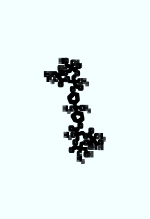 CC(CO)(CO)C(=O)OCC(C)(COC(=O)C(C)(CO)CO)C(=O)Oc1ccc(C(C)(C)c2ccc(OC(=O)C(C)(COC(=O)C(C)(CO)CO)COC(=O)C(C)(CO)CO)cc2)cc1